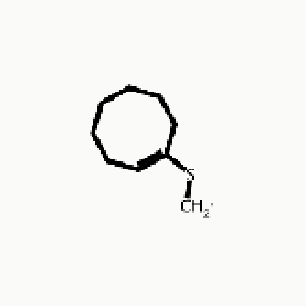 [CH2]S/C1=C/CCCCCC1